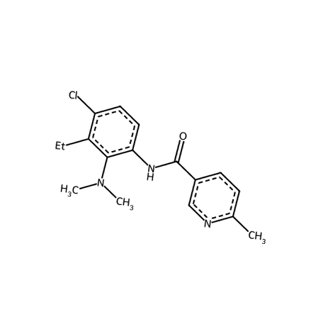 CCc1c(Cl)ccc(NC(=O)c2ccc(C)nc2)c1N(C)C